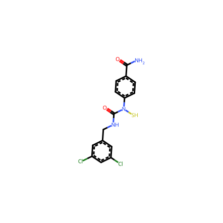 NC(=O)c1ccc(N(S)C(=O)NCc2cc(Cl)cc(Cl)c2)cc1